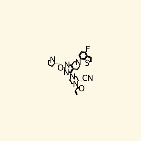 C=CC(=O)N1CCN(c2nc(OC[C@@H]3CCCN3C)nc3c2CCN(c2ccc(F)c4ccsc24)C3)C[C@@H]1CC#N